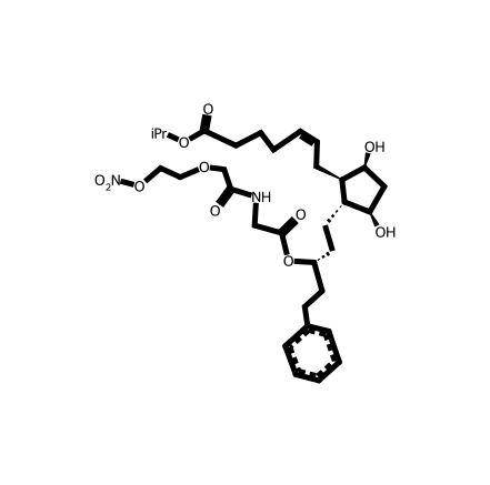 CC(C)OC(=O)CCC/C=C\C[C@@H]1[C@@H](CC[C@H](CCc2ccccc2)OC(=O)CNC(=O)COCCO[N+](=O)[O-])[C@H](O)C[C@@H]1O